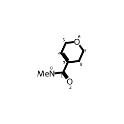 CNC(=O)C1=CCOCC1